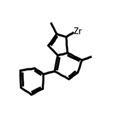 CC1=Cc2c(-c3ccccc3)ccc(C)c2[CH]1[Zr]